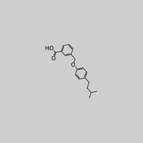 CC(C)CCc1ccc(OCc2cccc(C(=O)O)c2)cc1